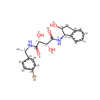 C[C@H](NC(=O)[C@H](O)[C@@H](O)C(=O)N[C@@H]1c2ccccc2C[C@@H]1O)c1ccc(Br)cc1